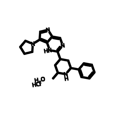 CC1CC(c2ncc3ncc(N4CCCC4)c-3[nH]2)CC(c2ccccc2)N1.Cl.O